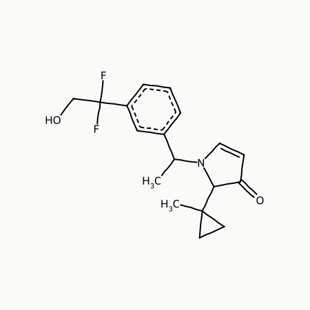 CC(c1cccc(C(F)(F)CO)c1)N1C=CC(=O)C1C1(C)CC1